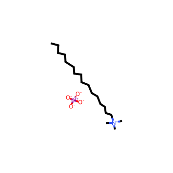 CCCCCCCCCCCCCCCC[N+](C)(C)C.[O-][I+3]([O-])([O-])[O-]